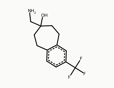 NCC1(O)CCc2ccc(C(F)(F)F)cc2CC1